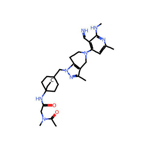 CNc1nc(C)cc(N2CCc3c(c(C)nn3CC34CCC(NC(=O)CN(C)C(C)=O)(CC3)CC4)C2)c1C=N